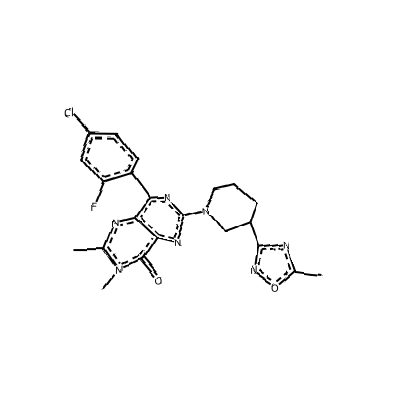 Cc1nc(C2CCCN(c3nc(-c4ccc(Cl)cc4F)c4nc(C)n(C)c(=O)c4n3)C2)no1